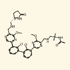 COc1nc(-c2cccc(-c3cccc(-c4cnc(CNCC(C)(C)NC(C)=O)c(OC)n4)c3Cl)c2Cl)cnc1CNC[C@@H]1CCC(=O)N1